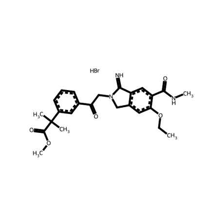 Br.CCOc1cc2c(cc1C(=O)NC)C(=N)N(CC(=O)c1cccc(C(C)(C)C(=O)OC)c1)C2